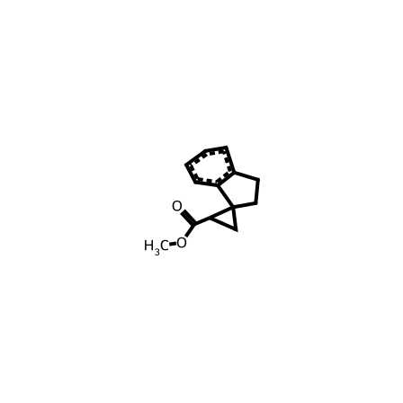 COC(=O)C1CC12CCc1ccccc12